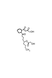 CCCCC(CCCC(=O)c1ccccc1C(=O)OC(=O)CO)OC(=O)CO